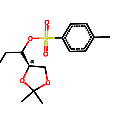 CCC(OS(=O)(=O)c1ccc(C)cc1)[C@H]1COC(C)(C)O1